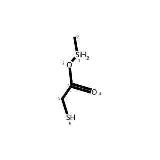 C[SiH2]OC(=O)CS